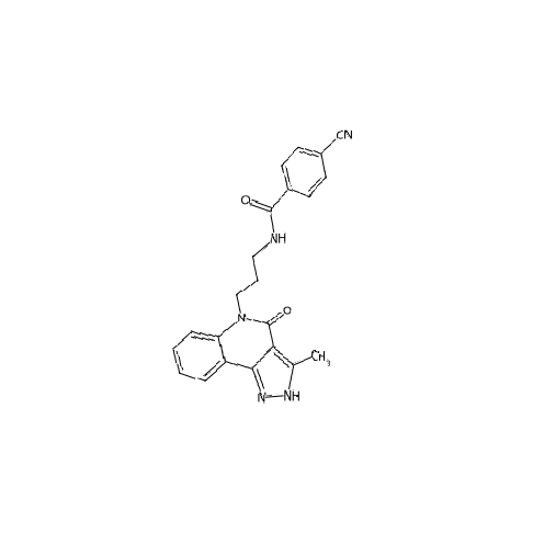 Cc1[nH]nc2c1c(=O)n(CCCNC(=O)c1ccc(C#N)cc1)c1ccccc21